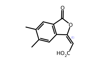 Cc1cc2c(cc1C)/C(=C\C(=O)O)OC2=O